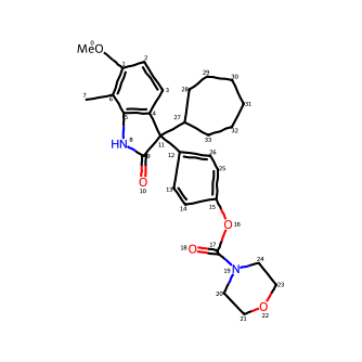 COc1ccc2c(c1C)NC(=O)C2(c1ccc(OC(=O)N2CCOCC2)cc1)C1CCCCCC1